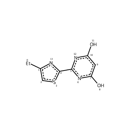 CCc1csc(-c2nc(O)cc(O)n2)n1